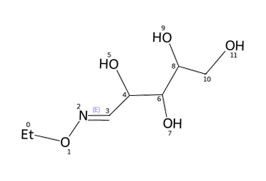 CCO/N=C/C(O)C(O)C(O)CO